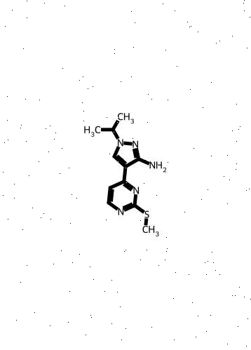 CSc1nccc(-c2cn(C(C)C)nc2N)n1